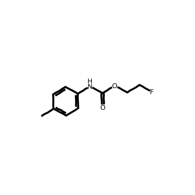 Cc1ccc(NC(=O)OCCF)cc1